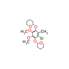 COc1c(OC2CCCCO2)c(C)c(Br)c(OC2CCCCO2)c1OC